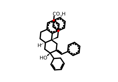 O=C(O)c1ccc2c(c1)CC[C@@H]1C[C@@](O)(C3C=CC=CC3)/C(=C/c3ccccc3)C[C@@]21Cc1ccccc1